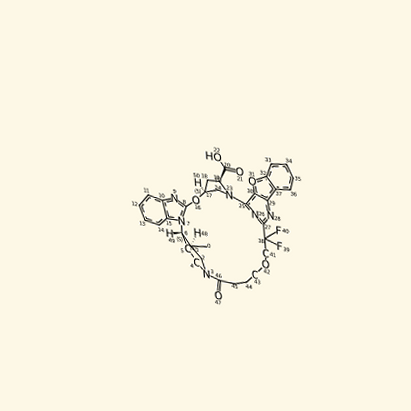 C[C@H]1CN2CC[C@@H]1n1c(nc3ccccc31)O[C@H]1C[C@@H](C(=O)O)N(C1)c1nc(nc3c1oc1ccccc13)C(F)(F)COCCCC2=O